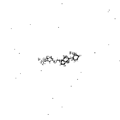 C[Si](C)(C)CCOCn1ccc2nc(-c3cccnc3F)ncc21